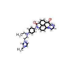 CCN(CC[n+]1ccn(C)c1)c1ccc(N2C(=O)c3ccc4c(=O)c5nccn5c5ccc2c3c45)cc1